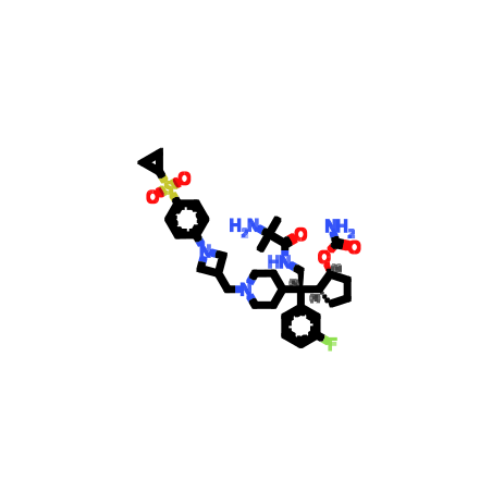 CC(C)(N)C(=O)NC[C@@](c1cccc(F)c1)(C1CCN(CC2CN(c3ccc(S(=O)(=O)C4CC4)cc3)C2)CC1)[C@H]1CCC[C@@H]1OC(N)=O